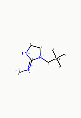 C[Si](C)(C)CN1CCN/C1=N\[N+](=O)[O-]